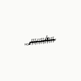 OCCC(F)(F)C(F)(F)C(F)(F)C(F)(F)C(F)(F)C(F)(F)C(F)(F)C(F)(F)C(F)(C(F)(F)F)C(F)(F)C(F)(F)C(F)(F)F